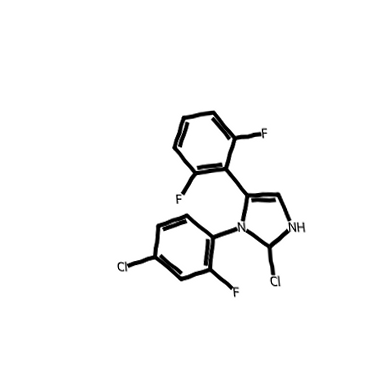 Fc1cc(Cl)ccc1N1C(c2c(F)cccc2F)=CNC1Cl